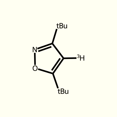 [3H]c1c(C(C)(C)C)noc1C(C)(C)C